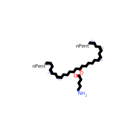 CCCCC/C=C\C/C=C\C/C=C\CCCCCC(CCCCC/C=C\C/C=C\C/C=C\CCCCC)OC(=O)CCCCN